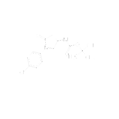 CC(C)(C)OC(=O)NC1CC(=O)N(c2ccc(Cl)cc2)C1